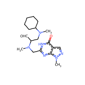 CN(Cc1nc2c(cnn2C)c(=O)[nH]1)C(C=O)CN(C)C1CCCCC1